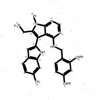 COc1ccc(CNc2ncnc3c2c(-c2cc4ccc(C#N)cc4[nH]2)c(CN)n3C(C)C)c(OC)c1